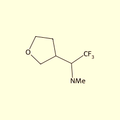 CNC(C1CCOC1)C(F)(F)F